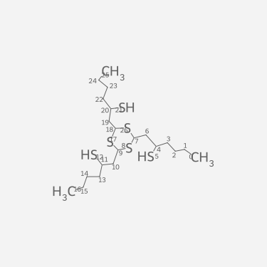 CCCCC(S)CC1SC(CC(S)CCCC)SC(CC(S)CCCC)S1